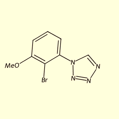 COc1cccc(-n2cnnn2)c1Br